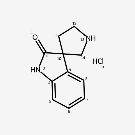 Cl.O=C1Nc2ccccc2C12CCNC2